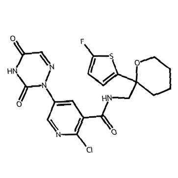 O=C(NCC1(c2ccc(F)s2)CCCCO1)c1cc(-n2ncc(=O)[nH]c2=O)cnc1Cl